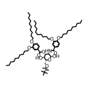 CCCCCCCCCCOc1ccc(C(=O)N[C@H]2[C@@H](OC(=O)c3ccc(OCCCCCCCCCC)c(OCCCCCCCCCC)c3)[C@H](O)[C@@H](CO[Si](C)(C)C(C)(C)C)O[C@@H]2O)cc1OCCCCCCCCCC